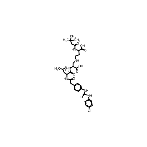 CC(C)CC(NC(=O)Cc1ccc(NC(=O)Nc2ccc(Cl)cc2)cc1)C(=O)NC(CNCCC(NC(=O)CC(C)(C)C)C(=O)O)C(=O)O